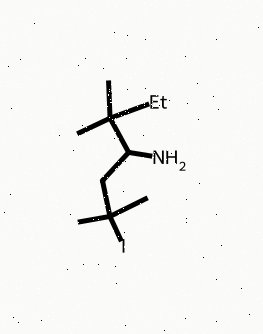 CCC(C)(C)C(N)CC(C)(C)I